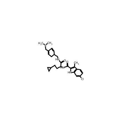 Cc1c(C(=O)NC(CCC2CC2)C(=O)NCC2C=CC(CN(C)C)=CC2)[nH]c2cc(Cl)ccc12